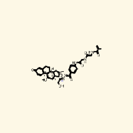 C=C(C)C(=O)NCC(=O)NCC(=O)Nc1ccc(C(=O)N/N=C(/CO)[C@H]2[C@H](C)CC3[C@@H]4CCC5=CC(=O)C=C[C@]5(C)C4[C@@H](O)C[C@@]32C)cc1